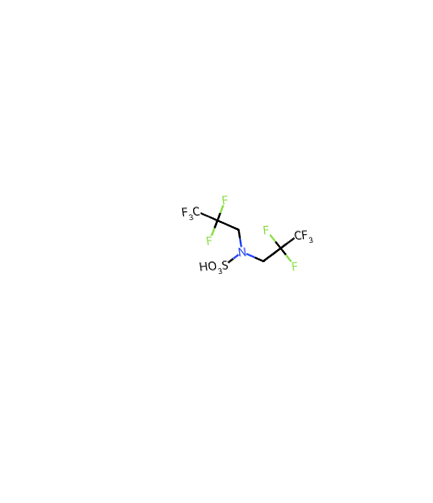 O=S(=O)(O)N(CC(F)(F)C(F)(F)F)CC(F)(F)C(F)(F)F